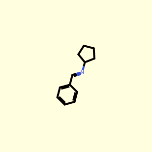 [c]1ccc(C=NC2CCCC2)cc1